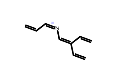 C=C/C=N\C=C(C=C)C=C